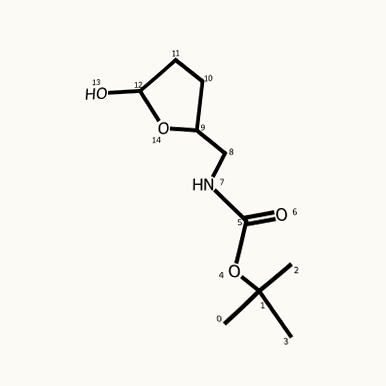 CC(C)(C)OC(=O)NCC1CCC(O)O1